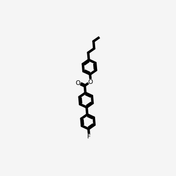 CCCCc1ccc(OC(=O)c2ccc(-c3ccc(F)cc3)cc2)cc1